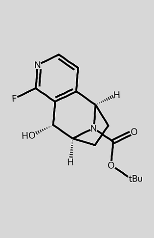 CC(C)(C)OC(=O)N1[C@@H]2CC[C@H]1[C@H](O)c1c2ccnc1F